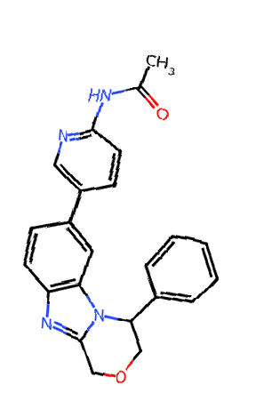 CC(=O)Nc1ccc(-c2ccc3nc4n(c3c2)C(c2ccccc2)COC4)cn1